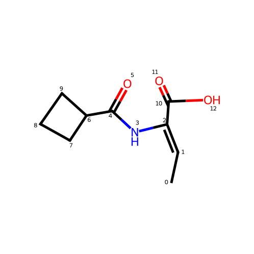 C/C=C(\NC(=O)C1CCC1)C(=O)O